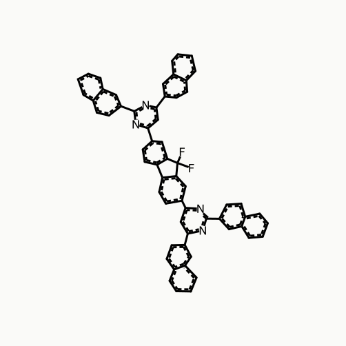 FC1(F)c2cc(-c3cc(-c4ccc5ccccc5c4)nc(-c4ccc5ccccc5c4)n3)ccc2-c2ccc(-c3cc(-c4ccc5ccccc5c4)nc(-c4ccc5ccccc5c4)n3)cc21